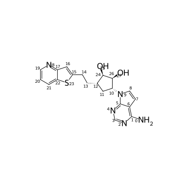 Nc1ncnc2c1ccn2[C@@H]1C[C@H](CCc2cc3ncccc3s2)[C@@H](O)[C@H]1O